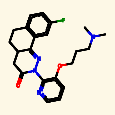 CN(C)CCCOc1cccnc1N1N=C2c3cc(F)ccc3CCC2CC1=O